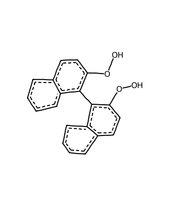 OOc1ccc2ccccc2c1-c1c(OO)ccc2ccccc12